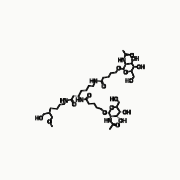 COCC(CO)CCCCNC(=O)C[C@H](CCCCNC(=O)CCCCO[C@@H]1OC(CO)[C@H](O)[C@H](O)C1NC(C)=O)NC(=O)CCCCO[C@@H]1OC(CO)[C@H](O)[C@H](O)C1NC(C)=O